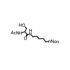 CCCCCCCCCCCCCCNC(=O)C(CO)NC(C)=O